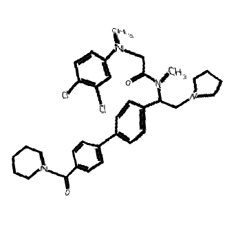 CN(CC(=O)N(C)C(CN1CCCC1)c1ccc(-c2ccc(C(=O)N3CCCCC3)cc2)cc1)c1ccc(Cl)c(Cl)c1